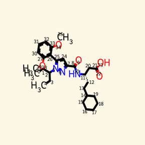 CCC(CC)n1nc(C(=O)N[C@@H](CCC2CCCCC2)CC(=O)O)cc1-c1c(OC)cccc1OC